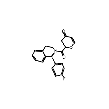 O=C1C=COC(C(=O)N2CCc3ccccc3[C@@H]2c2ccc(F)cc2)C1